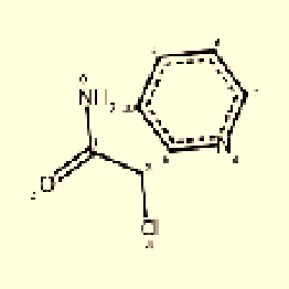 NC(=O)CCl.c1ccncc1